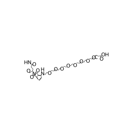 CNC(=O)CCC(C=O)N1C(=O)c2cccc(NCCOCCOCCOCCOCCOCCOCCOCCOCCC(=O)O)c2C1=O